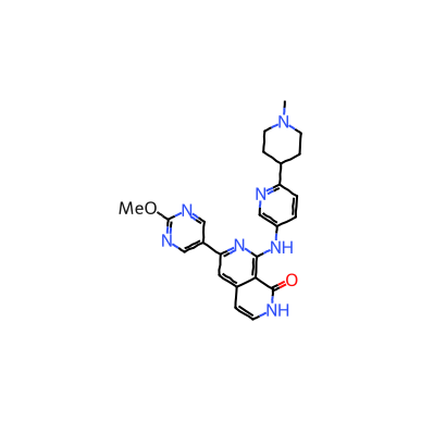 COc1ncc(-c2cc3cc[nH]c(=O)c3c(Nc3ccc(C4CCN(C)CC4)nc3)n2)cn1